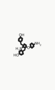 Nc1ccc(Oc2ccc(Cc3ccc(O)cc3)c(N)c2Cc2ccc(O)cc2)cc1